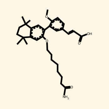 COc1ccc(/C=C/C(=O)O)cc1-c1cc2c(cc1OCCCCCCCC(N)=O)C(C)(C)CCC2(C)C